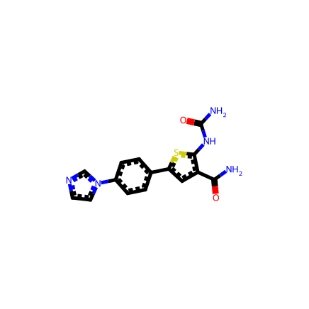 NC(=O)Nc1sc(-c2ccc(-n3ccnc3)cc2)cc1C(N)=O